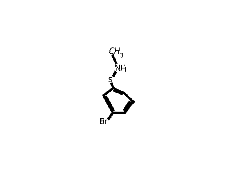 CNSc1cccc(Br)c1